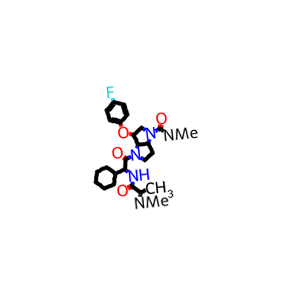 CNC(=O)N1CC(Oc2ccc(F)cc2)C2C1CCN2C(=O)C(NC(=O)C(C)NC)C1CCCCC1